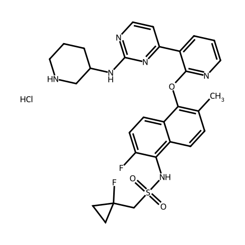 Cc1ccc2c(NS(=O)(=O)CC3(F)CC3)c(F)ccc2c1Oc1ncccc1-c1ccnc(NC2CCCNC2)n1.Cl